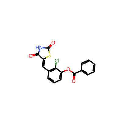 O=C1NC(=O)C(=Cc2cccc(OC(=O)c3ccccc3)c2Cl)S1